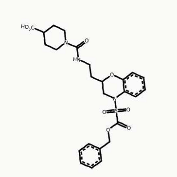 O=C(O)C1CCN(C(=O)NCCC2CN(S(=O)(=O)C(=O)OCc3ccccc3)c3ccccc3O2)CC1